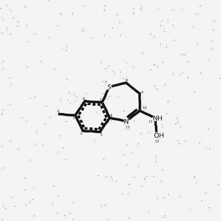 Cc1ccc2c(c1)SCCC(NO)=N2